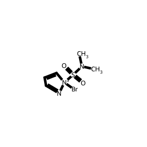 CN(C)S(=O)(=O)[N+]1(Br)C=CC=N1